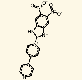 O=[N+]([O-])c1cc2c(cc1[N+](=O)[O-])NC([n+]1ccc(-c3ccncc3)cc1)N2